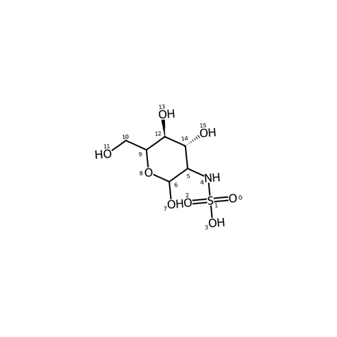 O=S(=O)(O)NC1C(O)OC(CO)[C@@H](O)[C@@H]1O